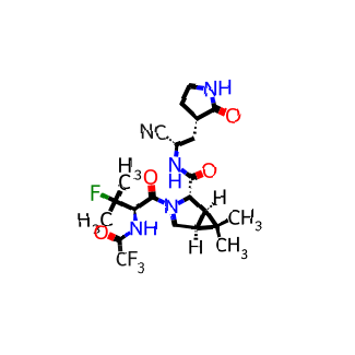 CC(C)(F)[C@H](NC(=O)C(F)(F)F)C(=O)N1C[C@H]2[C@@H]([C@H]1C(=O)N[C@H](C#N)C[C@@H]1CCNC1=O)C2(C)C